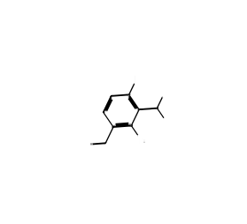 OCc1ccc(F)c(C(F)F)c1Br